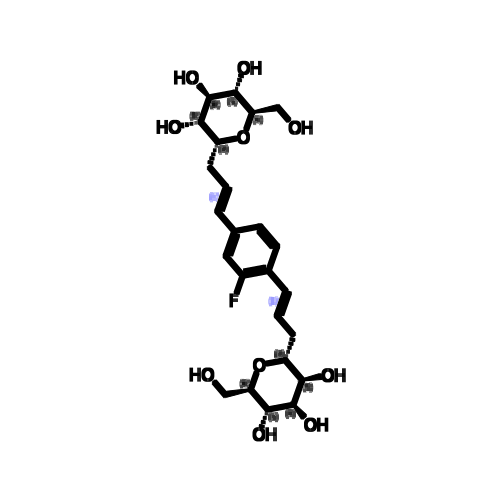 OC[C@H]1O[C@H](C/C=C/c2ccc(/C=C/C[C@H]3O[C@H](CO)[C@@H](O)[C@H](O)[C@H]3O)cc2F)[C@@H](O)[C@@H](O)[C@@H]1O